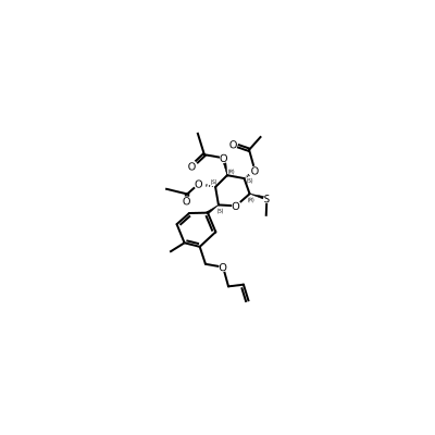 C=CCOCc1cc([C@@H]2O[C@H](SC)[C@@H](OC(C)=O)[C@H](OC(C)=O)[C@H]2OC(C)=O)ccc1C